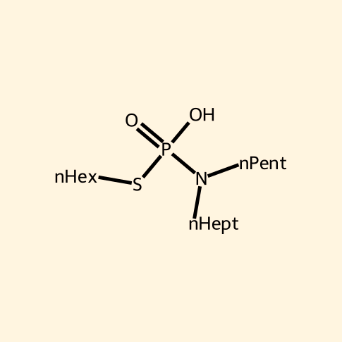 CCCCCCCN(CCCCC)P(=O)(O)SCCCCCC